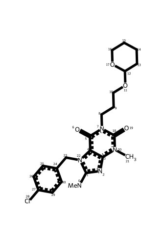 CNc1nc2c(c(=O)n(CCCOC3CCCCO3)c(=O)n2C)n1Cc1ccc(Cl)cc1